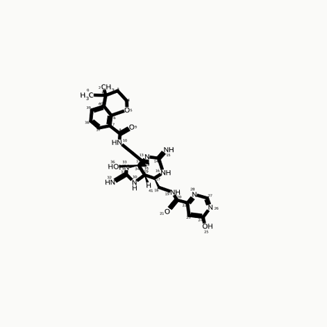 CC1(C)CCOc2c(C(=O)NC3CN4C(=N)N[C@@H](CNC(=O)c5cc(O)ncn5)[C@@H]5NC(=N)N[C@@]54[C@@H]3O)cccc21